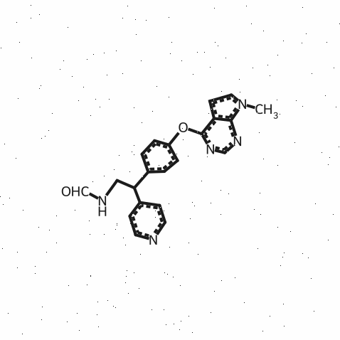 Cn1ccc2c(Oc3ccc(C(CNC=O)c4ccncc4)cc3)ncnc21